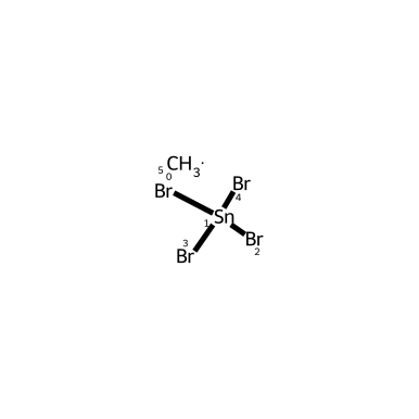 [Br][Sn]([Br])([Br])[Br].[CH3]